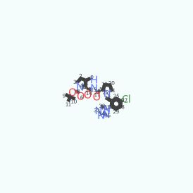 CC1CCN(C(=O)OC(C)(C)C)[C@@H]1C(=O)NC(=O)[C@@H]1CCCN1Cc1cc(Cl)ccc1-n1cnnn1